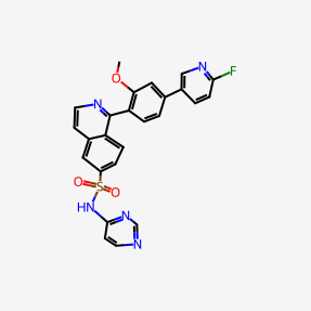 COc1cc(-c2ccc(F)nc2)ccc1-c1nccc2cc(S(=O)(=O)Nc3ccncn3)ccc12